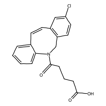 O=C(O)CCCC(=O)N1Cc2ccc(Cl)cc2/C=C\c2ccccc21